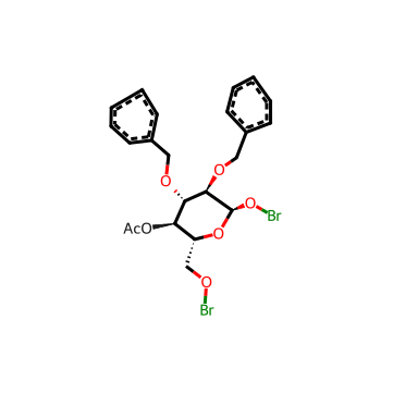 CC(=O)O[C@H]1[C@H](OCc2ccccc2)[C@@H](OCc2ccccc2)[C@@H](OBr)O[C@@H]1COBr